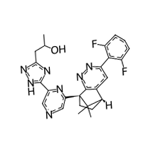 CC(O)Cc1n[nH]c(-c2cncc([C@@]34CC[C@@H](c5cc(-c6c(F)cccc6F)nnc53)C4(C)C)n2)n1